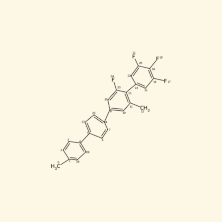 Cc1ccc(-c2ccc(-c3cc(C)c(-c4cc(F)c(F)c(F)c4)c(F)c3)cc2)cc1